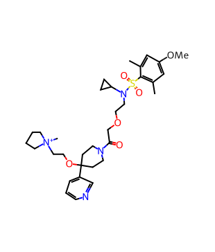 COc1cc(C)c(S(=O)(=O)N(CCOCC(=O)N2CCC(OCC[N+]3(C)CCCC3)(c3cccnc3)CC2)C2CC2)c(C)c1